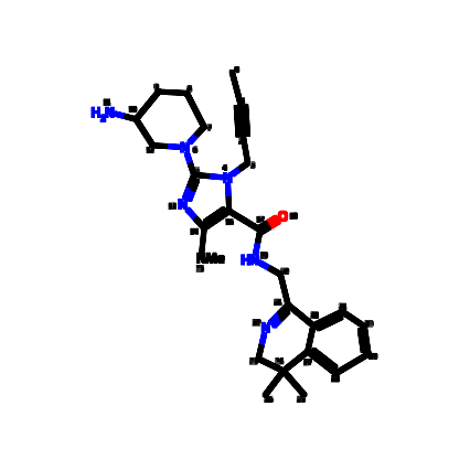 CC#CCn1c(N2CCCC(N)C2)nc(NC)c1C(=O)NCC1=NCC(C)(C)c2ccccc21